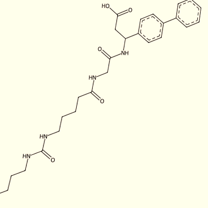 CCCCNC(=O)NCCCCC(=O)NCC(=O)NC(CC(=O)O)c1ccc(-c2ccccc2)cc1